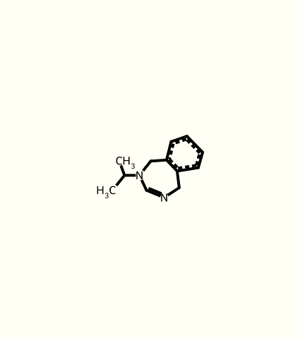 CC(C)N1C=NCc2ccccc2C1